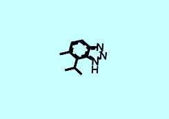 Cc1ccc2nn[nH]c2c1C(C)C